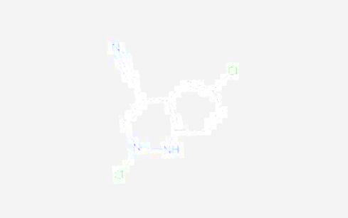 N#CC1=CN(Cl)Nc2ccc(Cl)cc21